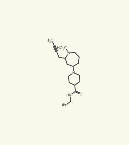 CC#CCC1CC(N2CCC(C(=O)NCC(C)C)CC2)CCCN1C(=O)O